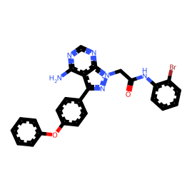 Nc1ncnc2c1c(-c1ccc(Oc3ccccc3)cc1)nn2CC(=O)Nc1ccccc1Br